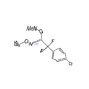 CNO/C(=N\OC(C)(C)C)C(F)(F)c1ccc(Cl)cc1